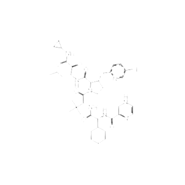 CCC[C@@H](NC(=O)C1[C@@H](Oc2ccc(Cl)cn2)CCN1C(=O)[C@H](NC(=O)[C@@H](NC(=O)C1=NC=CNC1)C1CCCCC1)C(C)(C)C)C(=O)C(=O)NC1CC1